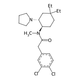 CCC1(CC)CC[C@@H](N(C)C(=O)Cc2ccc(Cl)c(Cl)c2)[C@H](N2CCCC2)C1